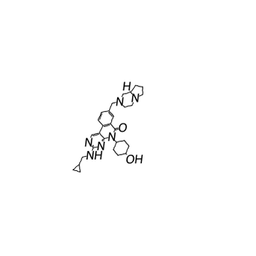 O=c1c2cc(CN3CCN4CCC[C@@H]4C3)ccc2c2cnc(NCC3CC3)nc2n1C1CCC(O)CC1